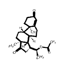 CC(=O)O[C@@H](C)[C@@H]1CC(=O)[C@@]2(C)CC[C@H]3[C@@H](CCC4=CC(=O)CC[C@@]43C)[C@H]12